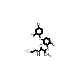 CC(Sc1cc(Oc2ccc(Cl)cc2Cl)ccc1Cl)C(=O)NCCO